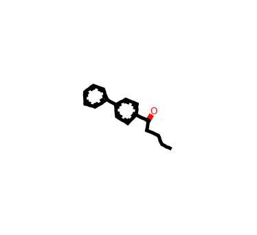 CCCCC(=O)c1ccc(-c2ccccc2)cc1